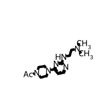 CC(=O)N1CCN(c2ccnc(NCCN(C)C)n2)CC1